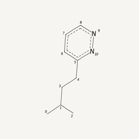 CC(C)CCc1cccnn1